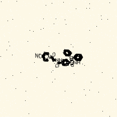 N#CC1CCN(C(=O)CNC(=O)c2ccc(S(=O)(=O)Nc3ccccc3Oc3ccccc3)cc2)CC1